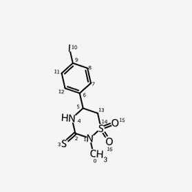 CN1C(=S)NC(c2ccc(I)cc2)CS1(=O)=O